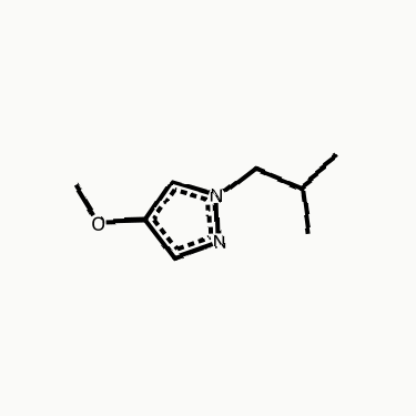 COc1cnn(CC(C)C)c1